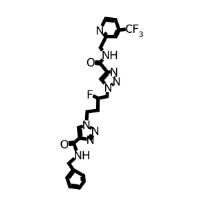 O=C(NCc1ccccc1)c1cn(CCC(F)Cn2cc(C(=O)NCc3cc(C(F)(F)F)ccn3)nn2)nn1